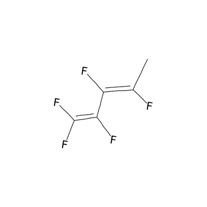 CC(F)=C(F)C(F)=C(F)F